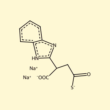 O=C([S-])CC(C(=O)[O-])c1nc2ccccc2[nH]1.[Na+].[Na+]